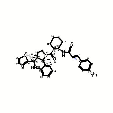 O=C(/C=C/c1ccc(C(F)(F)F)cc1)N[C@@H]1CCCC[C@@H]1C(=O)N1CC[C@@H]2[C@H](c3ncc[nH]3)Nc3ccccc3[C@@H]21